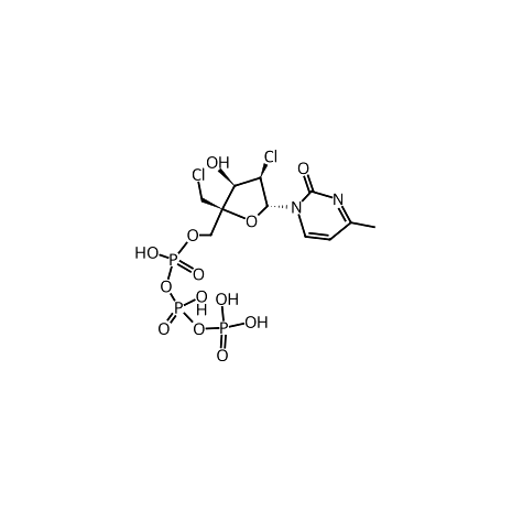 Cc1ccn([C@@H]2O[C@](CCl)(COP(=O)(O)OP(=O)(O)OP(=O)(O)O)[C@@H](O)[C@H]2Cl)c(=O)n1